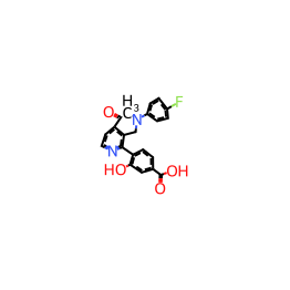 CN(Cc1c(C=O)ccnc1-c1ccc(C(=O)O)cc1O)c1ccc(F)cc1